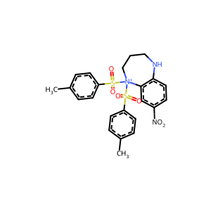 Cc1ccc(S(=O)(=O)[N+]2(S(=O)(=O)c3ccc(C)cc3)CCCNc3ccc([N+](=O)[O-])cc32)cc1